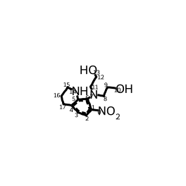 O=[N+]([O-])c1ccc2c(c1N(CCO)CCO)NCCC2